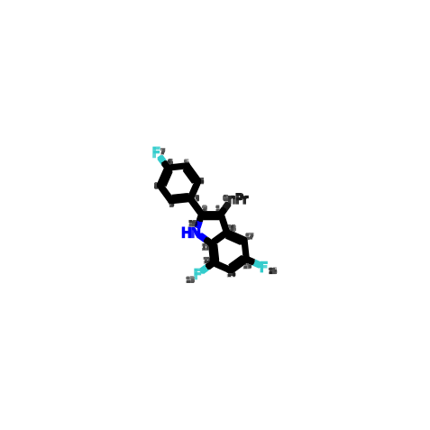 C[CH]Cc1c(-c2ccc(F)cc2)[nH]c2c(F)cc(F)cc12